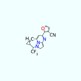 CC1=CC(c2occc2C#N)=NC2=CCN(C(C3CC3)C(F)(F)F)N12